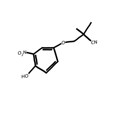 CC(C)(C#N)COc1ccc(O)c([N+](=O)[O-])c1